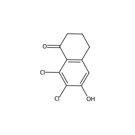 O=C1CCCc2cc(O)c(Cl)c(Cl)c21